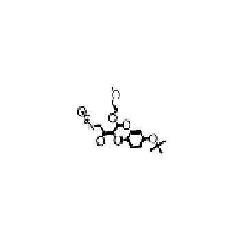 COCCOC(=O)C(Oc1ccc(OC(C)(C)C)cc1)C(=O)CN=C=O